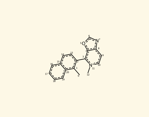 Cc1c(-c2c3ocnc3cc[n+]2C)ccc2ccccc12